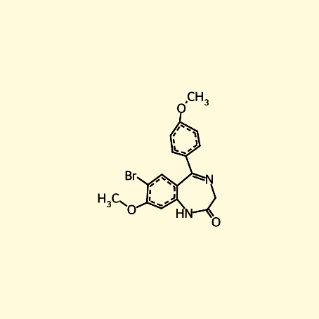 COc1ccc(C2=NCC(=O)Nc3cc(OC)c(Br)cc32)cc1